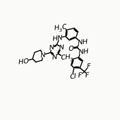 Cc1nc(Nc2cc(NC(=O)Nc3ccc(Cl)c(C(F)(F)F)c3)ccc2C)nc(N2CCC(O)CC2)n1